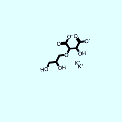 O=C([O-])C(O)C(OCC(O)CO)C(=O)[O-].[K+].[K+]